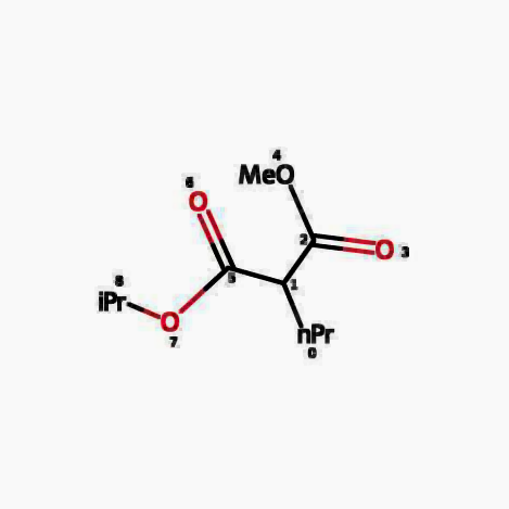 CCCC(C(=O)OC)C(=O)OC(C)C